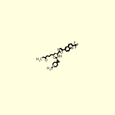 CCC(=O)CCCCC[C@H](NC(=O)[C@H]1CC12CCN(C)CC2)c1ncc(-c2ccc3nc(C(F)(F)F)ccc3c2)o1